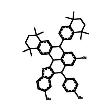 CC(C)(C)c1ccc(N2c3cc(C#N)cc4c3B(c3cc5c(cc3N4c3ccc4c(c3)C(C)(C)CCC4(C)C)C(C)(C)CCC5(C)C)c3sc4ccc(C(C)(C)C)cc4c32)cc1